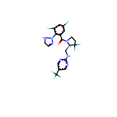 O=C(c1cc(F)cc(F)c1N1N=CCN1)N1CCC(F)(F)[C@H]1CNc1ncc(C(F)(F)F)cn1